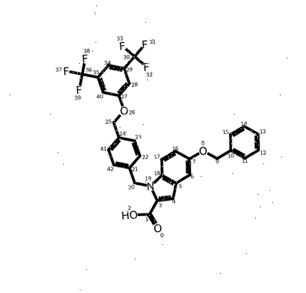 O=C(O)c1cc2cc(OCc3ccccc3)ccc2n1Cc1ccc(COc2cc(C(F)(F)F)cc(C(F)(F)F)c2)cc1